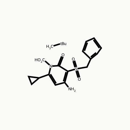 CC(C)(C)C.Nc1cc(C2CC2)n(C(=O)O)c(=O)c1S(=O)(=O)Cc1ccccc1